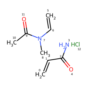 C=CC(N)=O.C=CN(C)C(C)=O.Cl